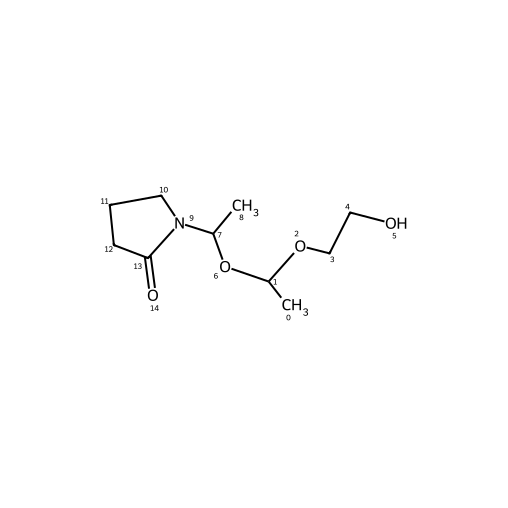 CC(OCCO)OC(C)N1CCCC1=O